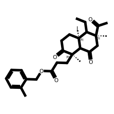 CCC1[C@]2(I)CCC(=O)[C@](C)(CCC(=O)OCc3ccccc3C)C2C(=O)C[C@]1(C)C(C)=O